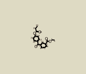 CCOC(=O)c1cccc(C(=O)c2ccc(OC(=O)CC)cc2)c1